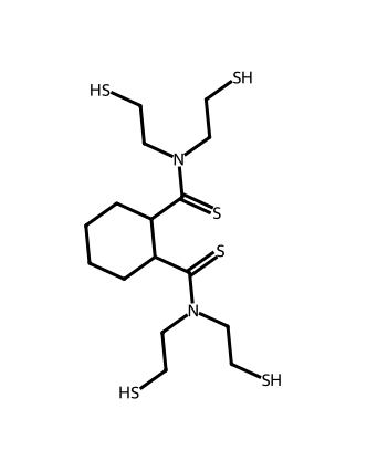 S=C(C1CCCCC1C(=S)N(CCS)CCS)N(CCS)CCS